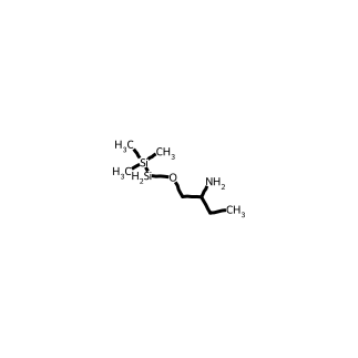 CCC(N)CO[SiH2][Si](C)(C)C